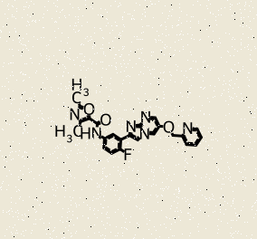 Cc1nc(C)c(C(=O)Nc2ccc(F)c(-c3cn4cc(OCc5ccccn5)cnc4n3)c2)o1